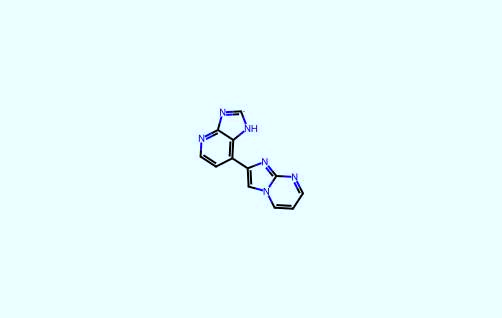 [c]1nc2nccc(-c3cn4cccnc4n3)c2[nH]1